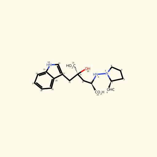 O=C[C@@H]1CCCN1N[C@H](C[C@](O)(Cc1c[nH]c2ccccc12)C(=O)O)C(=O)O